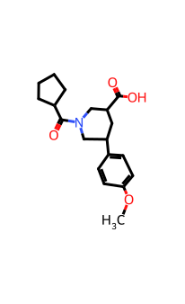 COc1ccc(C2CC(C(=O)O)CN(C(=O)C3CCCC3)C2)cc1